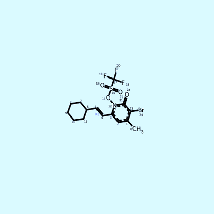 Cc1cc(/C=C/C2CCCCC2)n(OS(=O)(=O)C(F)(F)F)c(=O)c1Br